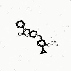 O=C1OC2(CCN(Cc3ccc(C4CC4)c(OC(F)(F)F)c3)CC2)CN1c1ccccc1